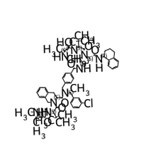 CN[C@@H](C)C(=O)N[C@H](C(=O)N1C[C@@H](NC(=O)c2ccc(CN(C(=O)[C@@H]3Cc4ccccc4CN3C(=O)[C@@H](NC(=O)[C@H](C)NC)C(C)(C)C)[C@@H](C)c3cccc(Cl)c3)cc2)C[C@H]1C(=O)N[C@@H]1CCCc2ccccc21)C(C)(C)C